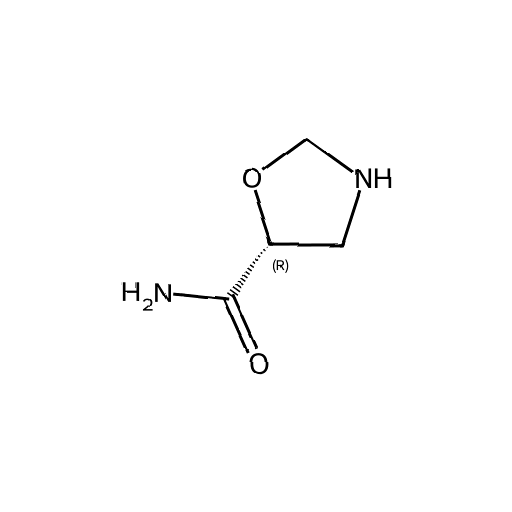 NC(=O)[C@H]1CNCO1